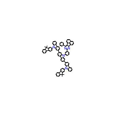 CC1(C)c2ccccc2-c2ccc(-n3c4ccccc4c4ccc(-c5ccc6c7ccc(-c8ccc9c%10ccccc%10n(-c%10ccc%11c(c%10)C(C)(C)c%10ccccc%10-%11)c9c8)cc7n(-c7cccc(-c8nc(-c9ccccc9)c9c(n8)-c8cccc%10cccc-9c8%10)c7)c6c5)cc43)cc21